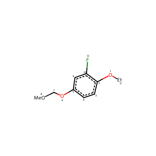 CCOc1ccc(OCOC)cc1F